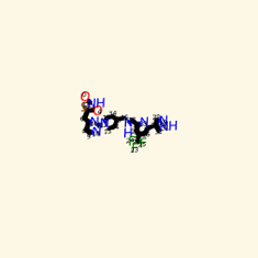 O=C1NC(=O)/C(=C\c2ccnc(N3CCC(CNCc4cc(C(F)(F)F)cc(-c5cn[nH]c5)n4)CC3)n2)S1